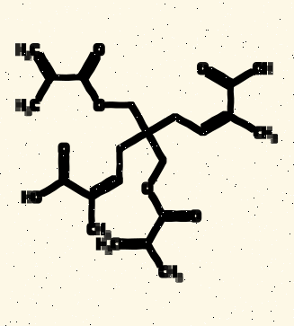 C=C(C)C(=O)OCC(CC=C(C)C(=O)O)(CC=C(C)C(=O)O)COC(=O)C(=C)C